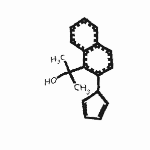 CC(C)(O)c1c(C2C=CC=C2)ccc2ccccc12